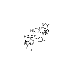 Cc1cnc2c(c1)S(=O)(=O)N(Cc1cc(C(c3ccn4c(C(F)(F)F)nnc4c3C)C(C)(C)C(=O)O)ccc1C)CC1(CCNCC1)O2